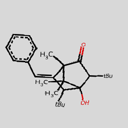 CC(C)(C)C1C(=O)C2(C)C(=Cc3ccccc3)C(C(C)(C)C)C1(O)C2(C)C